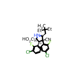 CCC(C)(CC)C[C@@H]1N[C@@H](C(=O)O)[C@H](c2cccc(Cl)c2F)[C@@]1(C#N)c1ccc(Cl)cc1F